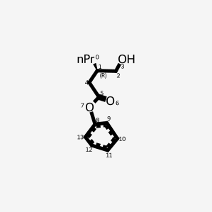 CCC[C@@H](CO)CC(=O)Oc1ccccc1